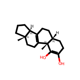 C[C@@]12CCC[C@H]1C1=C(CC2)[C@@]2(C)C(O)=C(O)CC[C@H]2CC1